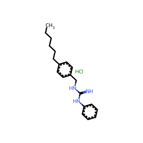 CCCCCCc1ccc(CNC(=N)Nc2ccccc2)cc1.Cl